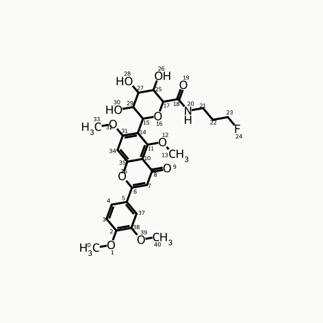 COc1ccc(-c2cc(=O)c3c(OC)c(C4OC(C(=O)NCCCF)C(O)C(O)C4O)c(OC)cc3o2)cc1OC